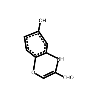 O=CC1=COc2ccc(O)cc2N1